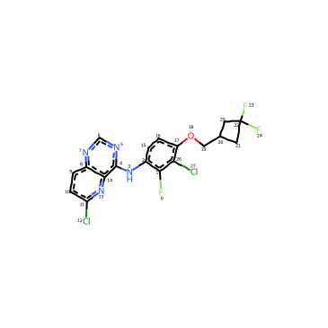 Fc1c(Nc2ncnc3ccc(Cl)nc23)ccc(OCC2CC(F)(F)C2)c1Cl